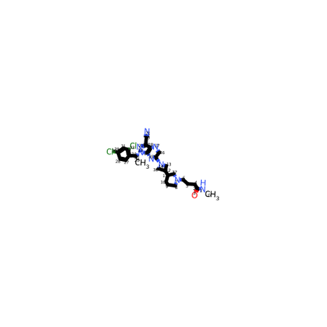 CNC(=O)CCCN1CCCC(C2CN(c3cnc4c(C#N)nn([C@H](C)c5ccc(Cl)cc5Cl)c4n3)C2)C1